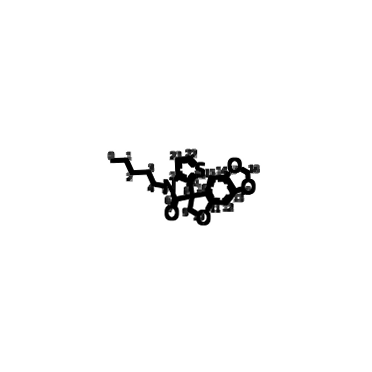 CCCCCN1C(=O)C2(COc3cc4c(cc32)OCO4)c2sccc21